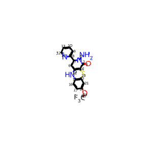 NN1C(=O)C2=C(CC1c1ccccn1)Nc1ccc(OC(F)(F)F)cc1S2